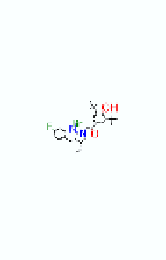 CCC[C@H]1CN(CC(=O)c2cc(C(C)(C)C)c(O)c(C(C)(C)C)c2)/C(=N\Br)[C@@H]1Cc1ccc(F)cc1